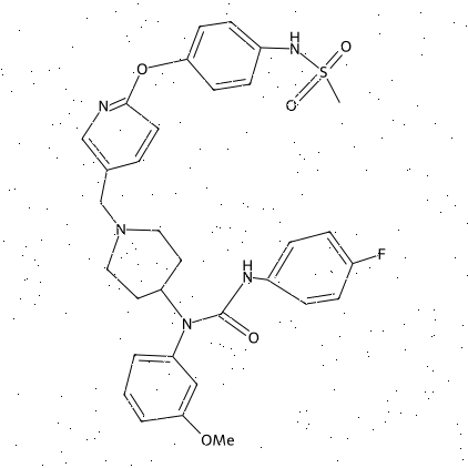 COc1cccc(N(C(=O)Nc2ccc(F)cc2)C2CCN(Cc3ccc(Oc4ccc(NS(C)(=O)=O)cc4)nc3)CC2)c1